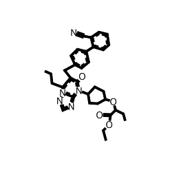 CCCc1c(Cc2ccc(-c3ccccc3C#N)cc2)c(=O)n(C2CCC(OC(CC)C(=O)OCC)CC2)c2ncnn12